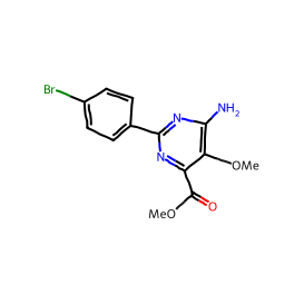 COC(=O)c1nc(-c2ccc(Br)cc2)nc(N)c1OC